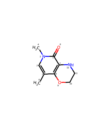 Cc1cn(C)c(=O)c2c1OCCN2